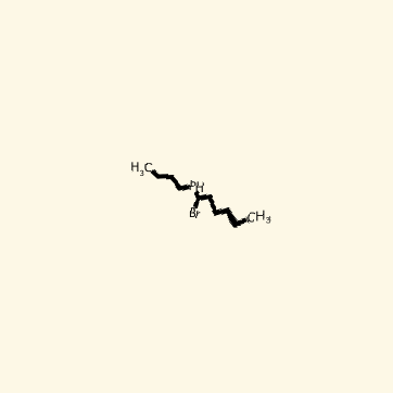 CCCCCC(Br)PCCCC